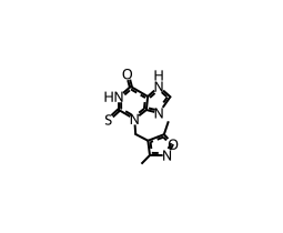 Cc1noc(C)c1Cn1c(=S)[nH]c(=O)c2[nH]cnc21